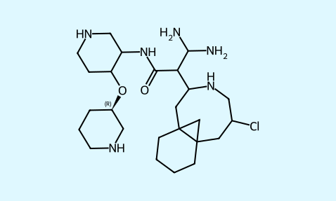 NC(N)C(C(=O)NC1CNCCC1O[C@@H]1CCCNC1)C1CC23CCCCC2(CC(Cl)CN1)C3